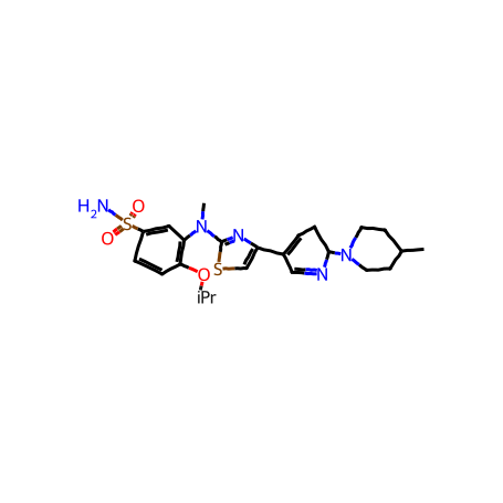 CC1CCN(C2CC=C(c3csc(N(C)c4cc(S(N)(=O)=O)ccc4OC(C)C)n3)C=N2)CC1